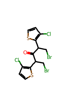 O=C(C(CBr)c1sccc1Cl)C(CBr)c1sccc1Cl